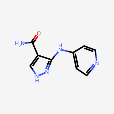 NC(=O)c1c[nH]nc1Nc1ccncc1